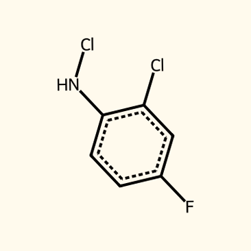 Fc1ccc(NCl)c(Cl)c1